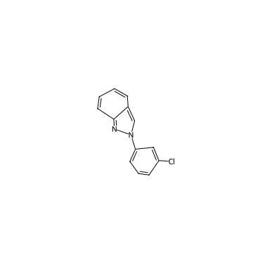 Clc1cccc(-n2cc3ccccc3n2)c1